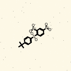 CC(C)(C)c1ccc(S(=O)(=O)c2ccc([N+](=O)[O-])cc2[N+](=O)[O-])cc1